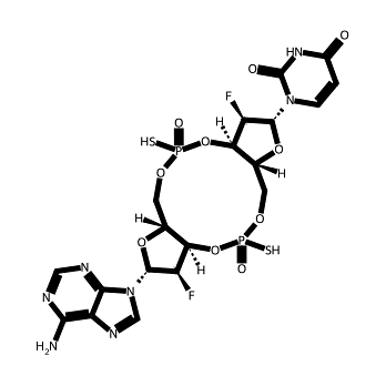 Nc1ncnc2c1ncn2[C@@H]1O[C@@H]2COP(=O)(S)O[C@H]3[C@@H](F)[C@H](n4ccc(=O)[nH]c4=O)O[C@@H]3COP(=O)(S)O[C@H]2[C@H]1F